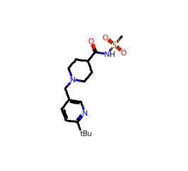 CC(C)(C)c1ccc(CN2CCC(C(=O)NS(C)(=O)=O)CC2)cn1